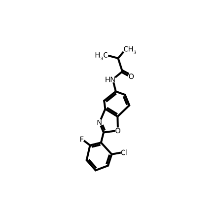 CC(C)C(=O)Nc1ccc2oc(-c3c(F)cccc3Cl)nc2c1